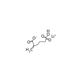 C=C(CCCS(=O)(=O)O)C(=O)[O-].[Li+]